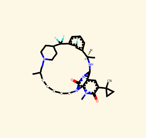 CC1CCCCCn2c(=O)nc(c3cc(C4(C#N)CC4)c(=O)n(C)c32)N[C@H](C)c2cccc(c2F)C(F)(F)C2CCN1CC2